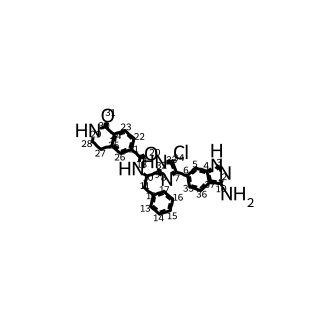 Nc1n[nH]c2cc(-c3nc(C(Cc4ccccc4)NC(=O)c4ccc5c(c4)CCNC5=O)[nH]c3Cl)ccc12